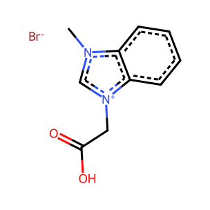 Cn1c[n+](CC(=O)O)c2ccccc21.[Br-]